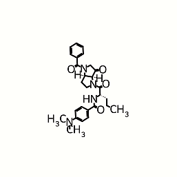 CCC[C@H](NC(=O)c1ccc(N(C)C)cc1)C(=O)N1CC[C@@H]2[C@H]1C(=O)CN2C(=O)c1ccccc1